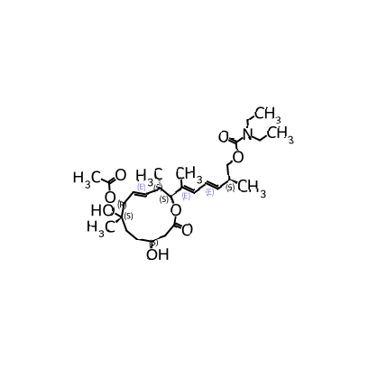 CCN(CC)C(=O)OC[C@@H](C)/C=C/C=C(\C)[C@H]1OC(=O)C[C@@H](O)CC[C@](C)(O)[C@H](OC(C)=O)/C=C/[C@@H]1C